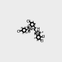 C[C@@H](NN(N)CCc1ccc(Cl)cc1NS(=O)(=O)c1ccc(Cl)cc1)c1cccc(Cl)c1Cl